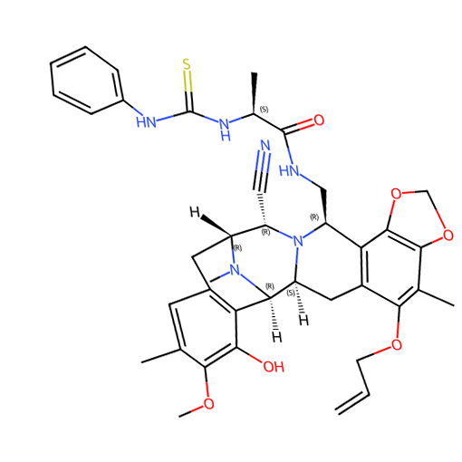 C=CCOc1c(C)c2c(c3c1C[C@H]1[C@H]4c5c(cc(C)c(OC)c5O)C[C@H]([C@H](C#N)N1[C@H]3CNC(=O)[C@H](C)NC(=S)Nc1ccccc1)N4C)OCO2